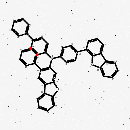 c1ccc(-c2ccc(N(c3ccc(-c4cccc5c4sc4ccccc45)cc3)c3cc4sc5ccccc5c4cc3-c3ccccc3)cc2)cc1